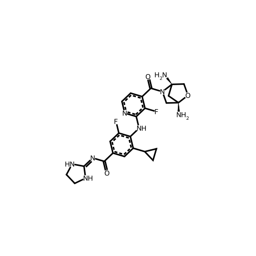 N[C@]12CN(C(=O)c3ccnc(Nc4c(F)cc(C(=O)N=C5NCCN5)cc4C4CC4)c3F)[C@](N)(CO1)C2